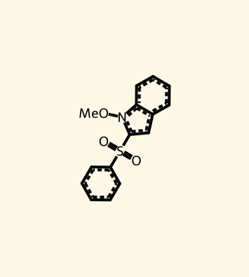 COn1c(S(=O)(=O)c2ccccc2)cc2ccccc21